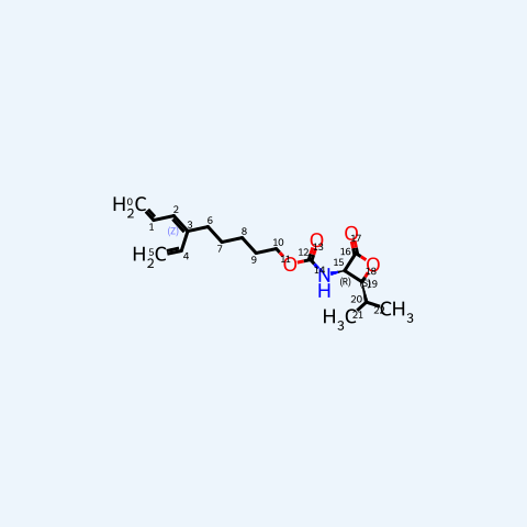 C=C/C=C(\C=C)CCCCCOC(=O)N[C@H]1C(=O)O[C@H]1C(C)C